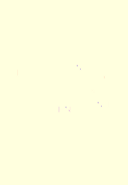 CCc1cn(CC)c2c1Nc1ccccc1NC2=O